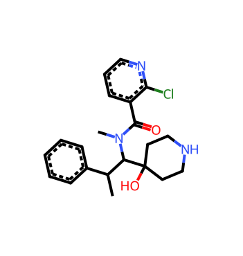 CC(c1ccccc1)C(N(C)C(=O)c1cccnc1Cl)C1(O)CCNCC1